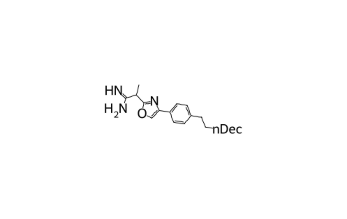 CCCCCCCCCCCCc1ccc(-c2coc(C(C)C(=N)N)n2)cc1